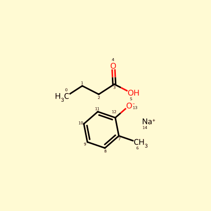 CCCC(=O)O.Cc1ccccc1[O-].[Na+]